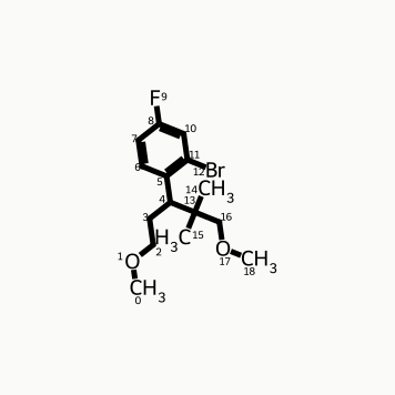 COCCC(c1ccc(F)cc1Br)C(C)(C)COC